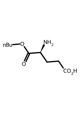 CCCCOC(=O)[C@@H](N)CCC(=O)O